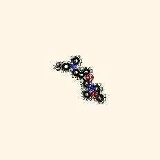 C[Si](C)(C)c1ccc(N(c2ccccc2)c2ccc3cc4c5c(cccc5c3c2)Oc2cc(N(c3ccccc3)c3cccc5c3oc3ccccc35)ccc2-4)cc1